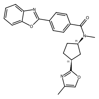 Cc1coc([C@H]2CC[C@@H](N(C)C(=O)c3ccc(-c4nc5ccccc5o4)cc3)C2)n1